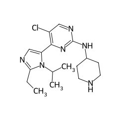 CCc1ncc(-c2nc(NC3CCNCC3)ncc2Cl)n1C(C)C